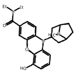 CCN(CC)C(=O)c1ccc2c(c1)Oc1c(O)cccc1N2C1CC2CCC(C1)N2C